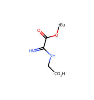 CC(C)(C)OC(=O)C(=N)NCC(=O)O